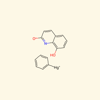 [Hg+][c]1ccccc1.[O-]c1ccc2cccc(O)c2n1